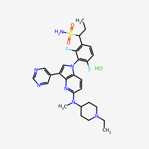 CCC(c1ccc(F)c(-n2cc(-c3cncnc3)c3nc(N(C)C4CCN(CC)CC4)ccc32)c1F)S(N)(=O)=O.Cl